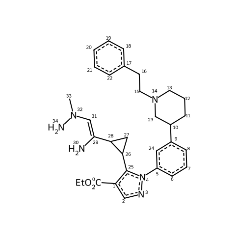 CCOC(=O)c1cnn(-c2cccc(C3CCCN(CCc4ccccc4)C3)c2)c1C1CC1/C(N)=C/N(C)N